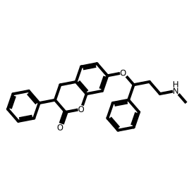 CNCCC(Oc1ccc2c(c1)OC(=O)C(c1ccccc1)C2)c1ccccc1